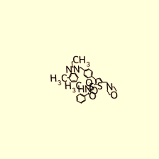 CCc1nc2c(C)cc(C)cc2n1Cc1ccc(-c2cc(CN3CCOCC3)sc2S(=O)(=O)NC(=O)c2ccccc2)cc1